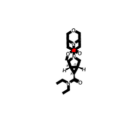 CCN(CC)C(=O)[C@H]1[C@@H]2CN(C3CC4COCC(C3)N4C(=O)OC)C[C@@H]21